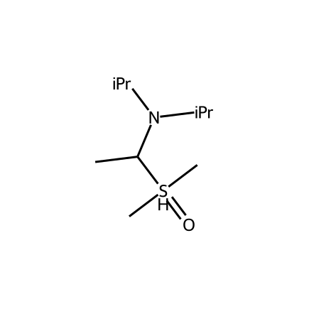 CC(C)N(C(C)C)C(C)[SH](C)(C)=O